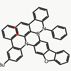 CCCCc1ccc(N2c3cc4oc5ccccc5c4cc3B3c4c(cccc42)-c2ccccc2N3c2ccccc2)c(-c2ccccc2)c1